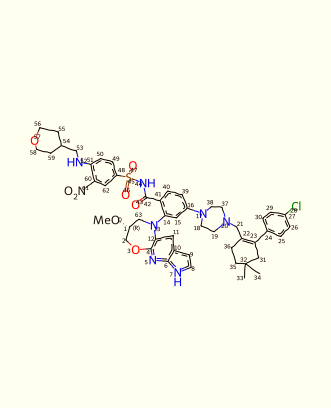 CO[C@H]1COc2nc3[nH]ccc3cc2N(c2cc(N3CCN(CC4=C(c5ccc(Cl)cc5)CC(C)(C)CC4)CC3)ccc2C(=O)NS(=O)(=O)c2ccc(NCC3CCOCC3)c([N+](=O)[O-])c2)C1